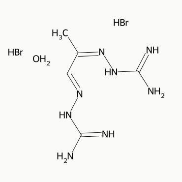 Br.Br.CC(C=NNC(=N)N)=NNC(=N)N.O